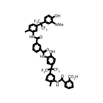 CNc1cc(C(c2ccc(C)c(NC(=O)c3cccc(C(=O)Nc4cc(C(c5ccc(C)c(NC(=O)c6ccccc6C(=O)O)c5)(C(F)(F)F)C(F)(F)F)ccc4O)c3)c2)(C(F)(F)F)C(F)(F)F)ccc1O